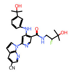 CC(C)(O)c1cccc(Nc2cc(-n3ccc4cc(C#N)cnc43)ncc2C(=O)NCC(F)C(C)(C)O)c1